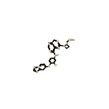 COC[C@H]1CCN1c1ncc2ncnc(Nc3ccc(Oc4ccn5ncnc5c4)c(Cl)c3)c2n1